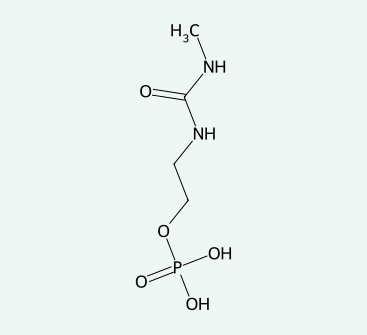 CNC(=O)NCCOP(=O)(O)O